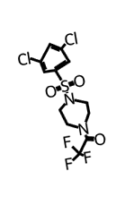 O=C(N1CCN(S(=O)(=O)c2cc(Cl)cc(Cl)c2)CC1)C(F)(F)F